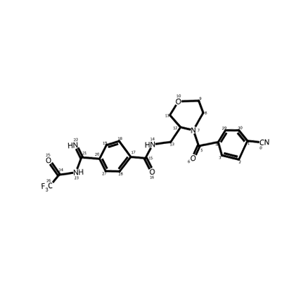 N#Cc1ccc(C(=O)N2CCOCC2CNC(=O)c2ccc(C(=N)NC(=O)C(F)(F)F)cc2)cc1